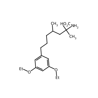 CCOc1cc(CCCC(C)CC(C)(N)C(=O)O)cc(OCC)c1